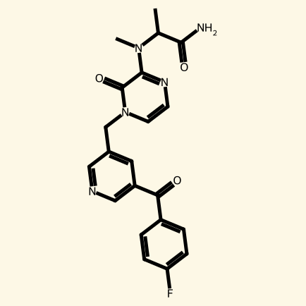 CC(C(N)=O)N(C)c1nccn(Cc2cncc(C(=O)c3ccc(F)cc3)c2)c1=O